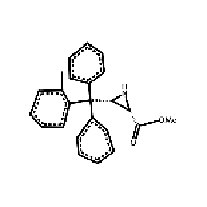 COC(=O)[C@H]1N[C@H]1C(c1ccccc1)(c1ccccc1)c1ccccc1C